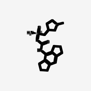 CN1CCC(C[S@](N)(=O)=NC(=O)Nc2c3c(cc4c2CCC4)CCC3)C1